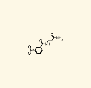 NC(=O)CCNC(=O)c1cccc([N+](=O)[O-])c1